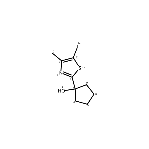 Cc1nc(C2(O)CCCC2)sc1I